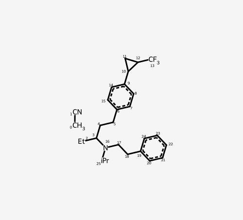 CC#N.CCC(CCc1ccc(C2CC2C(F)(F)F)cc1)N(CCc1ccccc1)C(C)C